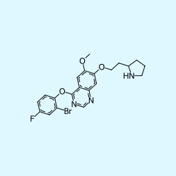 COc1cc2c(Oc3ccc(F)cc3Br)ncnc2cc1OCCC1CCCN1